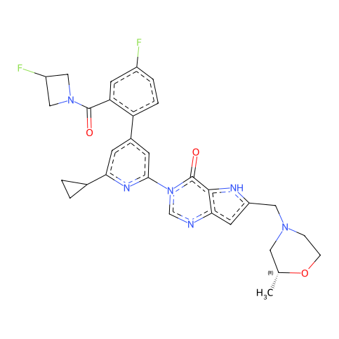 C[C@@H]1CN(Cc2cc3ncn(-c4cc(-c5ccc(F)cc5C(=O)N5CC(F)C5)cc(C5CC5)n4)c(=O)c3[nH]2)CCO1